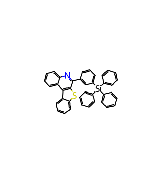 c1ccc([Si](c2ccccc2)(c2ccccc2)c2cccc(-c3nc4ccccc4c4c3sc3ccccc34)c2)cc1